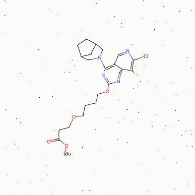 CC(C)(C)OC(=O)CCOCCCCOc1nc(N2CC3CCC(C3)C2)c2cnc(Cl)c(F)c2n1